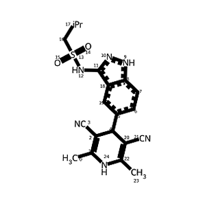 CC1=C(C#N)C(c2ccc3[nH]nc(NS(=O)(=O)CC(C)C)c3c2)C(C#N)=C(C)N1